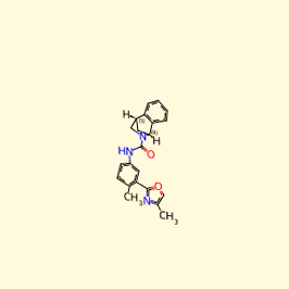 Cc1coc(-c2cc(NC(=O)N3C[C@H]4C[C@@H]3c3ccccc34)ccc2C)n1